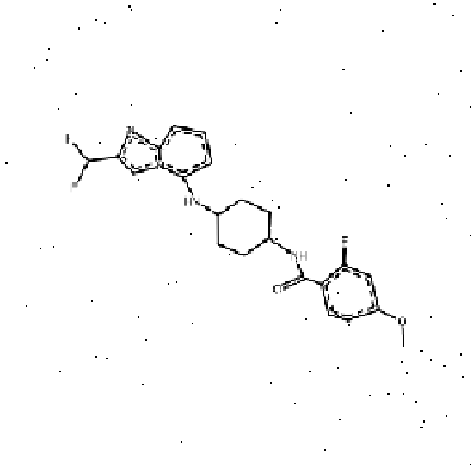 COc1ccc(C(=O)NC2CCC(Nc3cccc4nc(C(F)F)cn34)CC2)c(F)c1